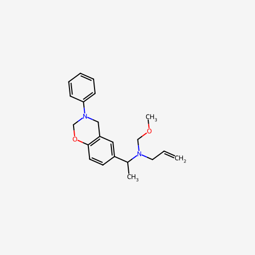 C=CCN(COC)C(C)c1ccc2c(c1)CN(c1ccccc1)CO2